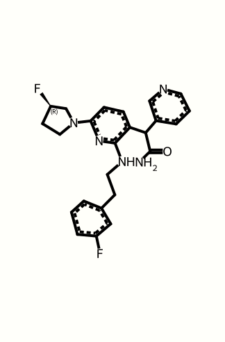 NC(=O)C(c1cccnc1)c1ccc(N2CC[C@@H](F)C2)nc1NCCc1cccc(F)c1